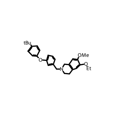 CCOc1cc2c(cc1OC)CN(Cc1cccc(Oc3ccc(C(C)(C)C)cc3)c1)CC2